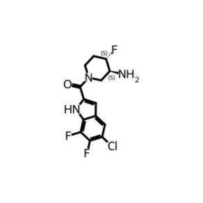 N[C@H]1CN(C(=O)c2cc3cc(Cl)c(F)c(F)c3[nH]2)CC[C@@H]1F